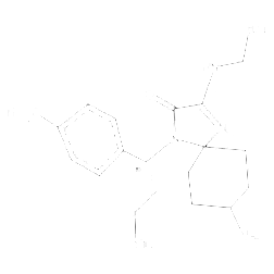 CC(C)(C)CC[C@H](c1ccc(C(=O)O)cc1)N1C(=O)C(NCC(C)(C)C)=NC12CCC(C(C)(C)C)CC2